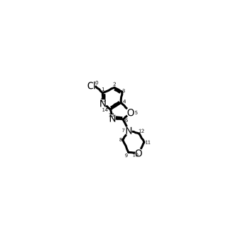 Clc1ccc2oc(N3CCOCC3)nc2n1